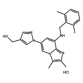 Cc1cccc(C)c1CNc1cc(-n2cc(CO)cn2)cn2c(C)c(C)nc12.Cl